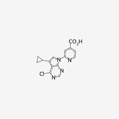 O=C(O)c1ccnc(-n2cc(C3CC3)c3c(Cl)ncnc32)c1